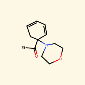 CCC(=O)C1(N2CCOCC2)C=CC=CC1